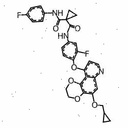 O=C(Nc1ccc(F)cc1)C1(C(=O)Nc2ccc(Oc3ccnc4cc(OCC5CC5)c5c(c34)OCCO5)c(F)c2)CC1